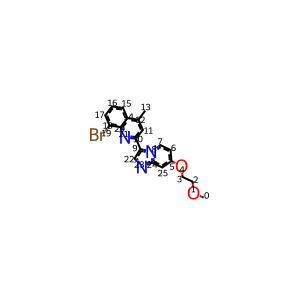 COCCOc1ccn2c(-c3cc(C)c4cccc(Br)c4n3)cnc2c1